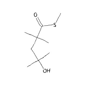 CSC(=O)C(C)(C)CC(C)(C)O